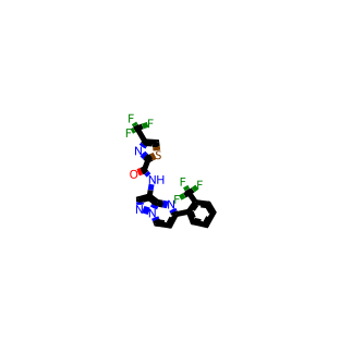 O=C(Nc1cnn2ccc(-c3ccccc3C(F)(F)F)nc12)c1nc(C(F)(F)F)cs1